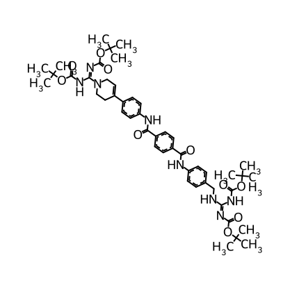 CC(C)(C)OC(=O)/N=C(/NCc1ccc(NC(=O)c2ccc(C(=O)Nc3ccc(C4=CCN(/C(=N\C(=O)OC(C)(C)C)NC(=O)OC(C)(C)C)CC4)cc3)cc2)cc1)NC(=O)OC(C)(C)C